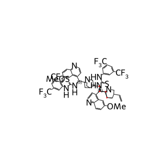 C=CC1CN2C(C=CC3CN4CCC3CC4[C@@H](NC(=S)Nc3cc(C(F)(F)F)cc(C(F)(F)F)c3)c3ccnc4ccc(OC)cc34)CC1CC2[C@H](NC(=S)Nc1cc(C(F)(F)F)cc(C(F)(F)F)c1)c1ccnc2ccc(OC)cc12